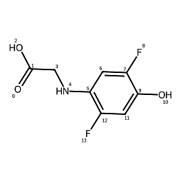 O=C(O)CNc1cc(F)c(O)cc1F